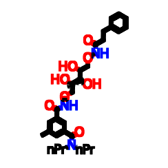 CCCN(CCC)C(=O)c1cc(C)cc(C(=O)NOC[C@H](O)[C@H](O)C(O)CONC(=O)CCc2ccccc2)c1